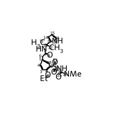 CCOc1ccc(CC(=O)NC(C)(C)c2ccc[nH]2)cc1S(=O)(=O)NC(=O)NC